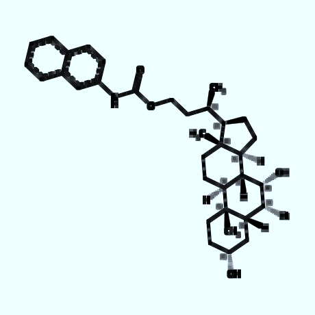 CC[C@H]1[C@@H](O)[C@@H]2[C@H](CC[C@]3(C)[C@@H]([C@H](C)CCOC(=O)Nc4ccc5ccccc5c4)CC[C@@H]23)[C@@]2(C)CC[C@@H](O)C[C@@H]12